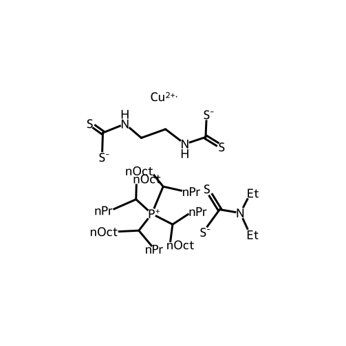 CCCCCCCCC(CCC)[P+](C(CCC)CCCCCCCC)(C(CCC)CCCCCCCC)C(CCC)CCCCCCCC.CCN(CC)C(=S)[S-].S=C([S-])NCCNC(=S)[S-].[Cu+2]